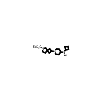 CCOC(=O)N1CCC2(CC(N3CCC(N(C(C)=O)C4CCC4)CC3)C2)C1